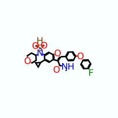 CNC(=O)c1c(-c2ccc(Oc3ccc(F)cc3)cc2)oc2cc(N(C3CCOCC3)[SH](=O)=O)c(C3CC3)cc12